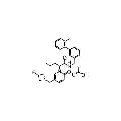 Cc1cccc(C)c1-c1cccc([C@H](CC(=O)O)NC(=O)[C@H](CC(C)C)n2cc(CN3CC(F)C3)ccc2=O)c1